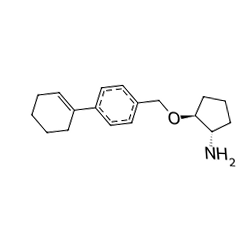 N[C@H]1CCC[C@@H]1OCc1ccc(C2=CCCCC2)cc1